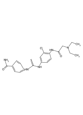 CCN(CC)CC(=O)Nc1ccc(NC(=S)Nc2ccc(C(N)=O)cc2)cc1Cl